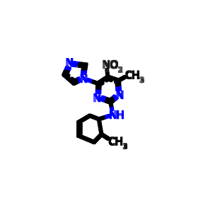 Cc1nc(NC2CC=CCC2C)nc(-n2ccnc2)c1[N+](=O)[O-]